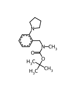 CN(Cc1ccccc1N1CCCC1)C(=O)OC(C)(C)C